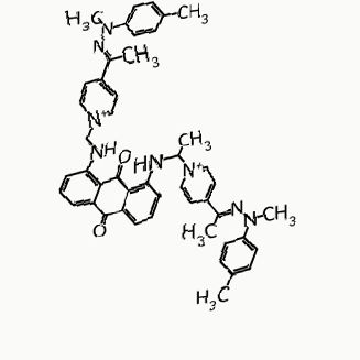 C/C(=N\N(C)c1ccc(C)cc1)c1cc[n+](CNc2cccc3c2C(=O)c2c(NC(C)[n+]4ccc(/C(C)=N/N(C)c5ccc(C)cc5)cc4)cccc2C3=O)cc1